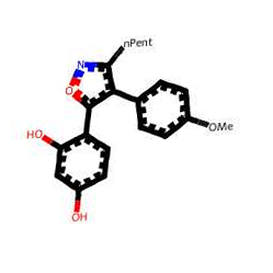 CCCCCc1noc(-c2ccc(O)cc2O)c1-c1ccc(OC)cc1